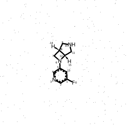 Fc1cncc(N2C[C@@H]3CNC[C@@H]32)c1